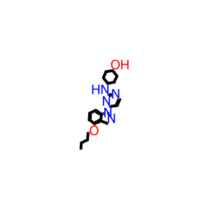 CCCCOc1cccc2c1cnn2-c1ccnc(N[C@H]2CC[C@H](O)CC2)n1